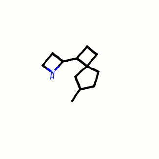 CC1CCC2(CCC2C2CCN2)C1